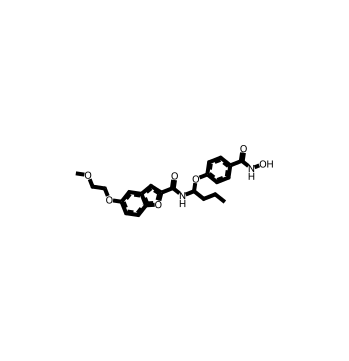 CCCC(NC(=O)c1cc2cc(OCCOC)ccc2o1)Oc1ccc(C(=O)NO)cc1